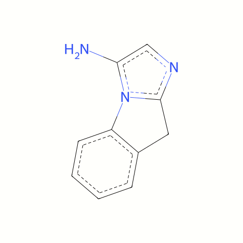 Nc1cnc2n1-c1ccccc1C2